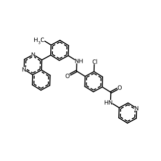 Cc1ccc(NC(=O)c2ccc(C(=O)Nc3cccnc3)cc2Cl)cc1-c1ncnc2ccccc12